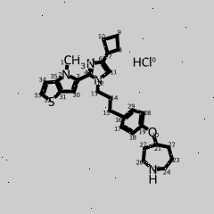 Cl.Cn1c(-c2nc(C3CCC3)cn2CCCc2ccc(OC3CCCNCC3)cc2)cc2sccc21